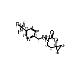 O=C1OC2(CCN1NCc1ccc(C(F)(F)F)cn1)CC2